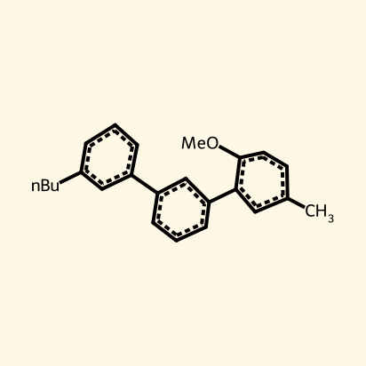 CCCCc1cccc(-c2cccc(-c3cc(C)ccc3OC)c2)c1